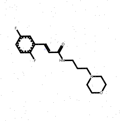 O=C(/C=C/c1cc(F)ccc1F)NCCCN1CCOCC1